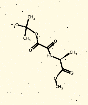 COC(=O)[C@H](C)NC(=O)C(=O)OC(C)(C)C